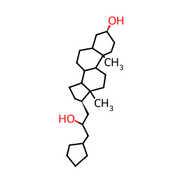 CC12CC[C@H](O)CC1CCC1C2CCC2(C)C1CC[C@@H]2CC(O)CC1CCCC1